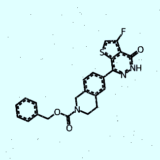 O=C(OCc1ccccc1)N1CCc2cc(-c3n[nH]c(=O)c4c(F)csc34)ccc2C1